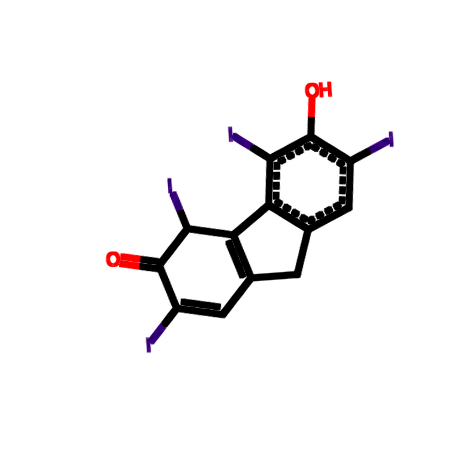 O=C1C(I)=CC2=C(c3c(cc(I)c(O)c3I)C2)C1I